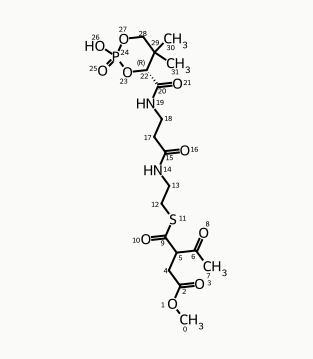 COC(=O)CC(C(C)=O)C(=O)SCCNC(=O)CCNC(=O)[C@@H]1OP(=O)(O)OCC1(C)C